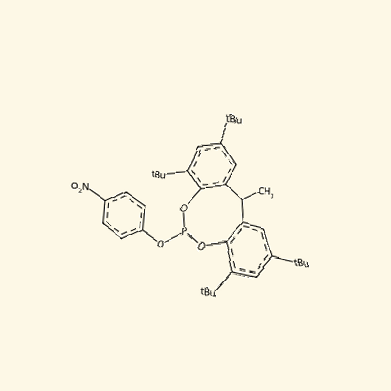 CC1c2cc(C(C)(C)C)cc(C(C)(C)C)c2OP(Oc2ccc([N+](=O)[O-])cc2)Oc2c1cc(C(C)(C)C)cc2C(C)(C)C